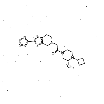 CC1CN(C(=O)CN2CCc3nc(-c4cscn4)sc3C2)CCN1C1CCC1